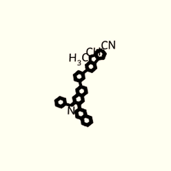 CC1(C)c2cc(C#N)ccc2-c2ccc(-c3cccc(-c4ccc5cc6c(cc5c4)c(-c4ccccc4)nc4cc5ccccc5cc46)c3)cc21